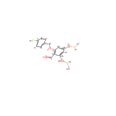 O=Cc1c(OCc2ccc(F)cc2)cc(OSI)cc1OSI